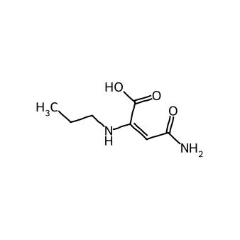 CCCN/C(=C/C(N)=O)C(=O)O